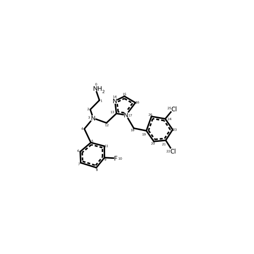 NCCN(Cc1cccc(F)c1)Cc1nccn1Cc1cc(Cl)cc(Cl)c1